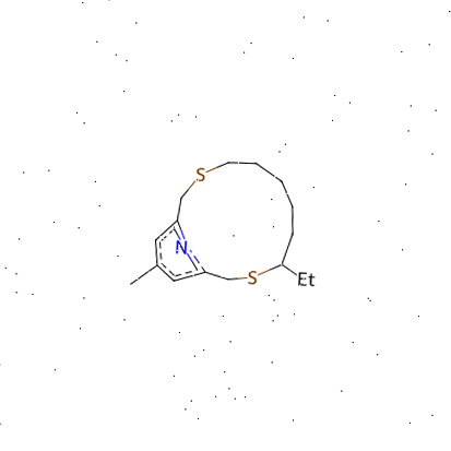 CCC1CCCCCSCc2cc(C)cc(n2)CS1